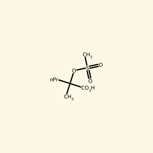 CCCC(C)(OS(C)(=O)=O)C(=O)O